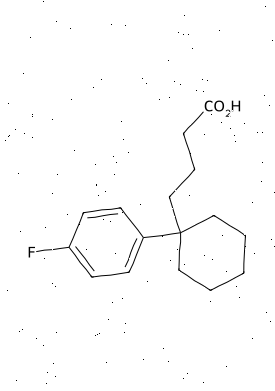 O=C(O)CCCC1(c2ccc(F)cc2)CCCCC1